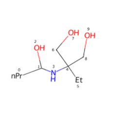 CCCC(O)NC(CC)(CO)CO